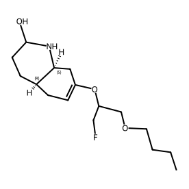 CCCCOCC(CF)OC1=CC[C@H]2CCC(O)N[C@H]2C1